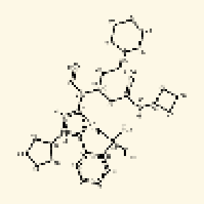 O=CN(c1nc(-c2ccccc2C(F)(F)F)n(C2CCCC2)n1)[C@@H](CCN1CCCCC1)CC(=O)NC1CCC1